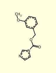 COc1cccc(COC(=O)n2ccnc2)c1